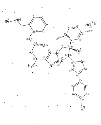 CC(C)NCc1ccccc1NC(=O)OC(C)C1=NN(C[C@](O)(c2cc(F)ccc2F)[C@@H](C)c2nc(-c3ccc(C#N)cc3)cs2)C=[N+]1.Cl.[Cl-]